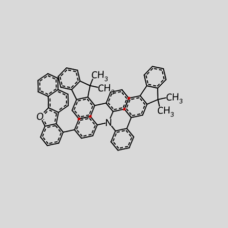 CC1(C)c2ccccc2-c2ccc(-c3ccccc3N(c3ccc(-c4cccc5oc6c7ccccc7ccc6c45)cc3)c3ccccc3-c3cccc4c3C(C)(C)c3ccccc3-4)cc21